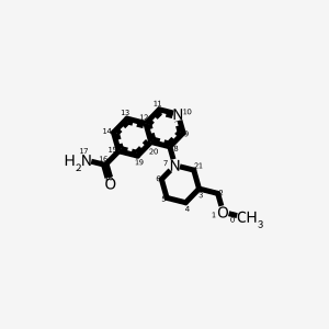 COCC1CCCN(c2cncc3ccc(C(N)=O)cc23)C1